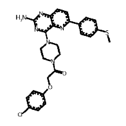 CSc1ccc(-c2ccc3nc(N)nc(N4CCN(C(=O)COc5ccc(Cl)cc5)CC4)c3n2)cc1